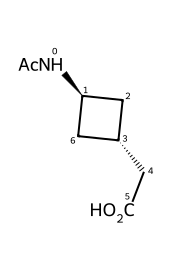 CC(=O)N[C@H]1C[C@H](CC(=O)O)C1